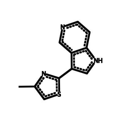 Cc1csc(-c2c[nH]c3ccncc23)n1